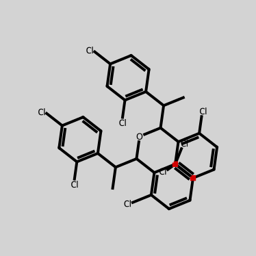 CC(c1ccc(Cl)cc1Cl)C(OC(c1c(Cl)cccc1Cl)C(C)c1ccc(Cl)cc1Cl)c1c(Cl)cccc1Cl